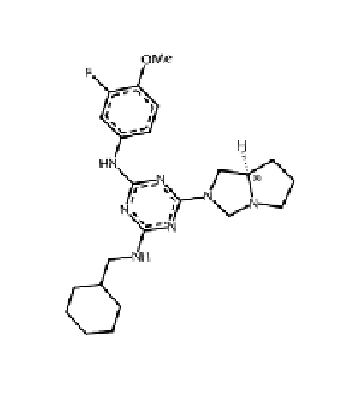 COc1ccc(Nc2nc(NCC3CCCCC3)nc(N3C[C@H]4CCCN4C3)n2)cc1F